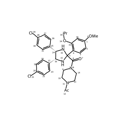 COc1ccc(C2(C(=O)N3CCN(C(C)=O)CC3)N[C@H](c3ccc(Cl)cc3)[C@H](c3ccc(Cl)cc3)N2)c(OC(C)C)c1